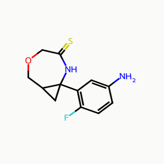 Nc1ccc(F)c(C23CC2COCC(=S)N3)c1